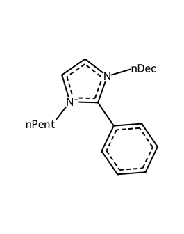 CCCCCCCCCCn1cc[n+](CCCCC)c1-c1ccccc1